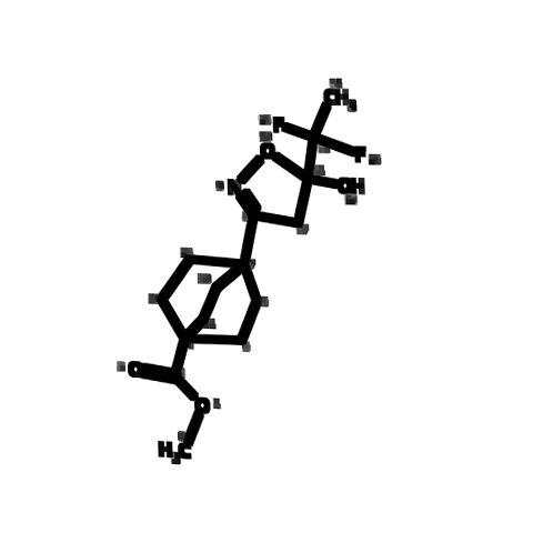 COC(=O)C12CCC(C3=NOC(O)(C(C)(F)F)C3)(CC1)CC2